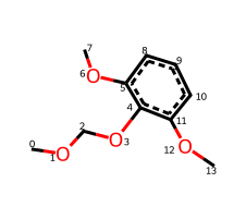 COCOc1c(OC)c[c]cc1OC